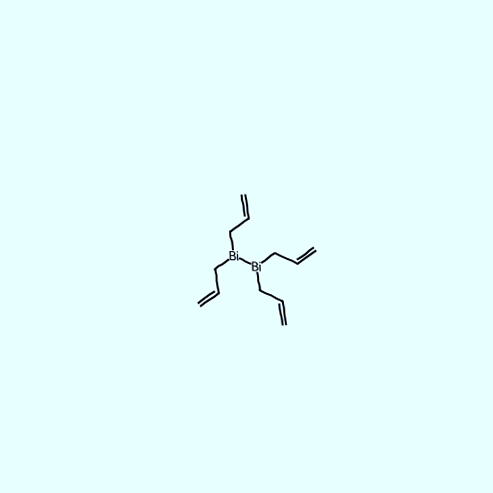 C=C[CH2][Bi]([CH2]C=C)[Bi]([CH2]C=C)[CH2]C=C